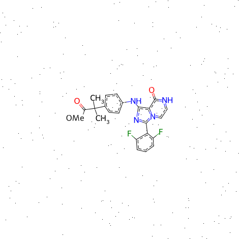 COC(=O)C(C)(C)c1ccc(Nc2nc(-c3c(F)cccc3F)n3cc[nH]c(=O)c23)cc1